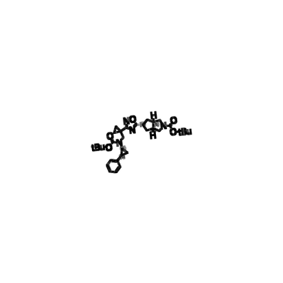 CC(C)(C)OC(=O)N1C[C@H]2C[C@@H](c3nc(C4(CN(C(=O)OC(C)(C)C)[C@@H]5C[C@H]5c5ccccc5)CC4)no3)C[C@H]2C1